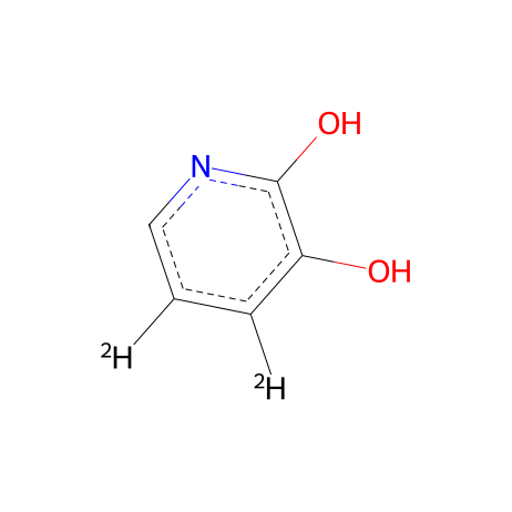 [2H]c1cnc(O)c(O)c1[2H]